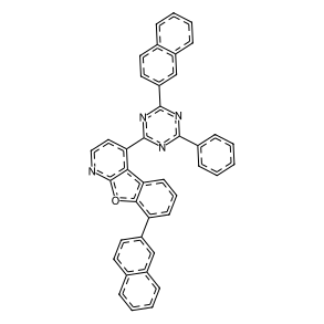 c1ccc(-c2nc(-c3ccc4ccccc4c3)nc(-c3ccnc4oc5c(-c6ccc7ccccc7c6)cccc5c34)n2)cc1